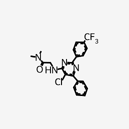 CN(C)C(=O)CNc1nc(-c2ccc(C(F)(F)F)cc2)nc(-c2ccccc2)c1Cl